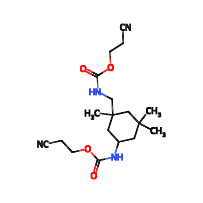 CC1(C)CC(NC(=O)OCCC#N)CC(C)(CNC(=O)OCCC#N)C1